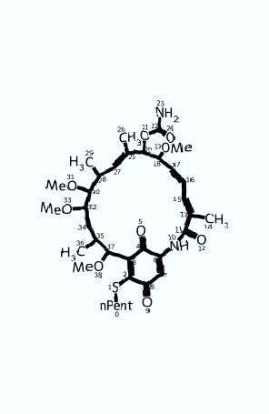 CCCCCSC1=C2C(=O)C(=CC1=O)NC(=O)/C(C)=C/C=C\C(OC)C(OC(N)=O)/C(C)=C/C(C)C(OC)C(OC)CC(C)C2OC